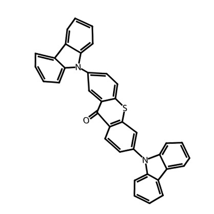 O=c1c2ccc(-n3c4ccccc4c4ccccc43)cc2sc2ccc(-n3c4ccccc4c4ccccc43)cc12